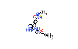 Cc1cnc(NC(=O)c2ccc(Oc3ccnc4[nH]nc(N[C@@H]5CCCN(C(=O)/C=C/CN(C)C)C5)c34)cc2)s1